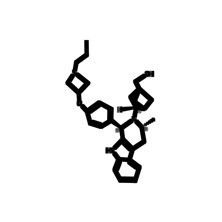 CCCN1CC(Oc2ccc([C@@H]3c4[nH]c5ccccc5c4C[C@@H](C)N3[C@@H]3CC4(CO)CC3C4)cc2)C1